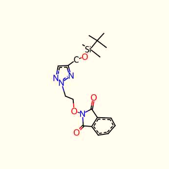 CC(C)(C)[Si](C)(C)OCc1cnn(CCON2C(=O)c3ccccc3C2=O)n1